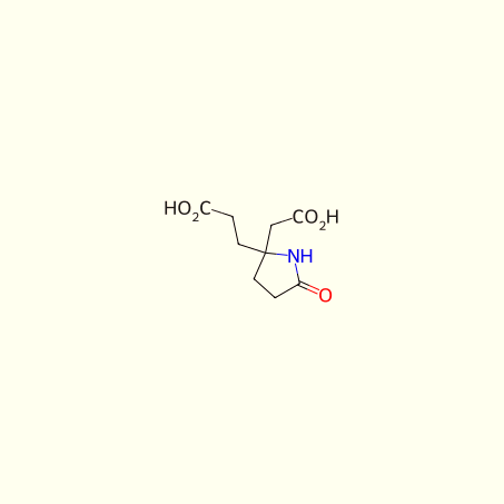 O=C(O)CCC1(CC(=O)O)CCC(=O)N1